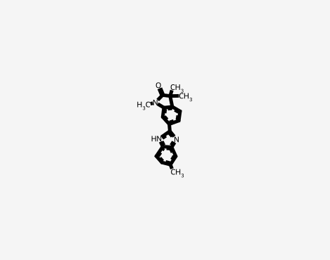 Cc1ccc2[nH]c(-c3ccc4c(c3)N(C)C(=O)C4(C)C)nc2c1